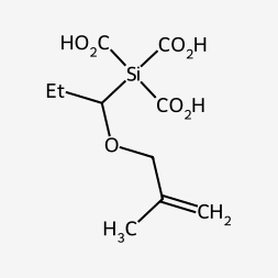 C=C(C)COC(CC)[Si](C(=O)O)(C(=O)O)C(=O)O